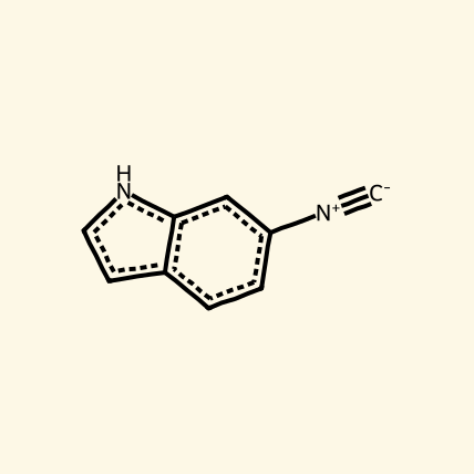 [C-]#[N+]c1ccc2cc[nH]c2c1